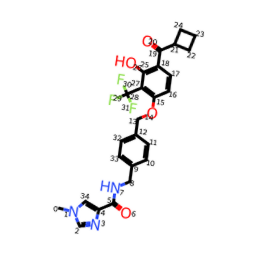 Cn1cnc(C(=O)NCc2ccc(COc3ccc(C(=O)C4CCC4)c(O)c3C(F)(F)F)cc2)c1